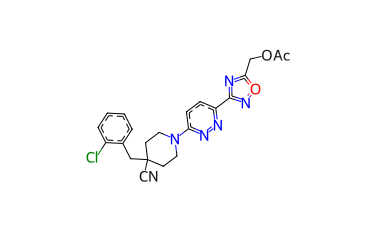 CC(=O)OCc1nc(-c2ccc(N3CCC(C#N)(Cc4ccccc4Cl)CC3)nn2)no1